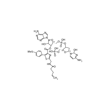 C=CCCC(=O)NCc1nc(C(=O)OC2C(O)[C@H](n3cnc4c(N)ncnc43)O[C@@H]2COP(=O)(O)OC2C[C@H](N3C=CC(N)=NC3O)O[C@@H]2COP(=O)(O)O)c(-c2ccc(SC)cc2)s1